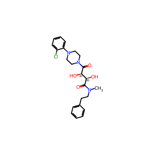 CN(CCc1ccccc1)C(=O)[C@H](O)[C@@H](O)C(=O)N1CCN(c2ccccc2Cl)CC1